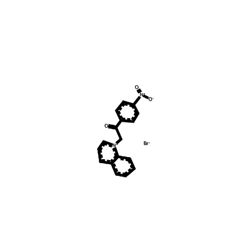 O=C(C[n+]1cccc2ccccc21)c1ccc([N+](=O)[O-])cc1.[Br-]